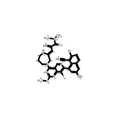 C#Cc1c(F)ccc2cc(O)cc(-c3ncc4c(N5CCCN/C(=C\C(=N)C(=O)N(C)C)C5)nc(OC)nc4c3F)c12